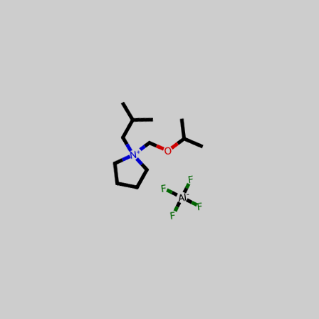 CC(C)C[N+]1(COC(C)C)CCCC1.[F][Al-]([F])([F])[F]